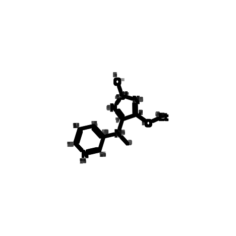 CCOc1n[s+]([O-])nc1N(C)c1cccnc1